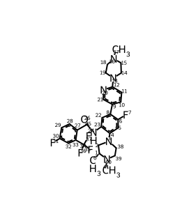 C[C@H]1CN(c2cc(F)c(-c3ccc(N4CCN(C)CC4)nc3)cc2NC(=O)c2ccc(F)cc2C(F)(F)F)CCN1C